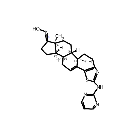 C[C@]12CCc3nc(Nc4ncccn4)sc3C1=CC[C@@H]1[C@@H]2CC[C@]2(C)/C(=N/O)CC[C@@H]12